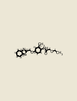 CCOCC(=O)Nc1ccc(OCc2nc3ccccc3s2)cc1C